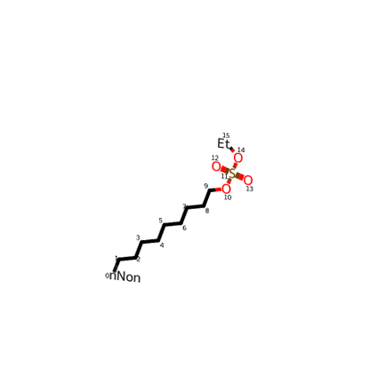 CCCCCCCCCCCCCCCCCCOS(=O)(=O)OCC